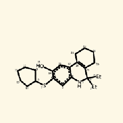 CCC1(CC)Nc2cc(SC3CCCCC3)c(O)cc2C2=C1CCCC2